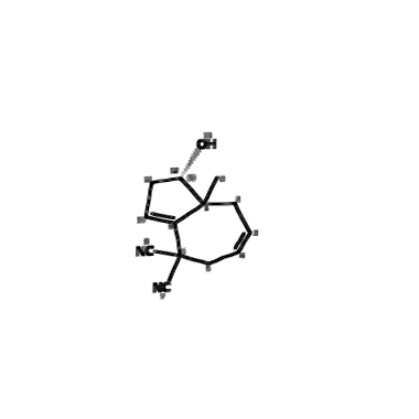 CC12CC=CCC(C#N)(C#N)C1=CC[C@@H]2O